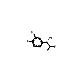 O[C@@H](c1ccc(F)c(Br)c1)C(F)F